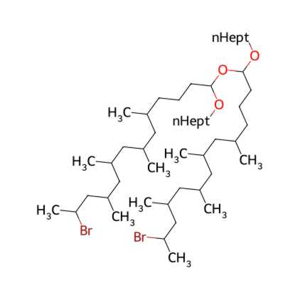 CCCCCCCOC(CCCC(C)CC(C)CC(C)CC(C)CC(C)Br)OC(CCCC(C)CC(C)CC(C)CC(C)CC(C)Br)OCCCCCCC